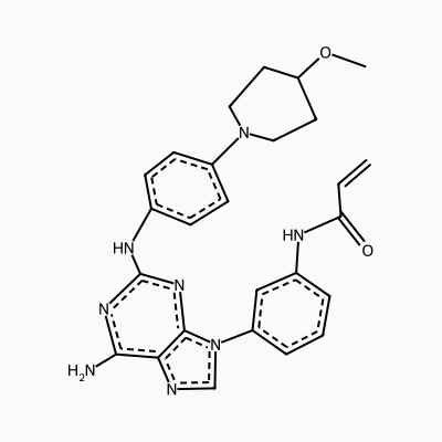 C=CC(=O)Nc1cccc(-n2cnc3c(N)nc(Nc4ccc(N5CCC(OC)CC5)cc4)nc32)c1